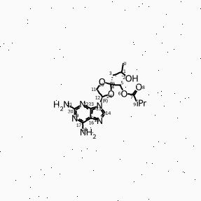 CC(O)C[C@@]1(COC(=O)C(C)C)OC[C@H](n2cnc3c(N)nc(N)nc32)O1